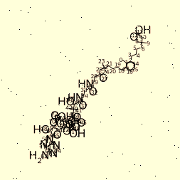 Cc1c(CCCCC(C)(C)CC(=O)O)cccc1CCCCC(C)(C)CC(=O)CCNC(=O)CCNC(=O)C(O)C(C)(C)COP(=O)(O)OP(=O)(O)OCC1OC(n2cnc3c(N)ncnc32)C(O)C1OP(=O)(O)O